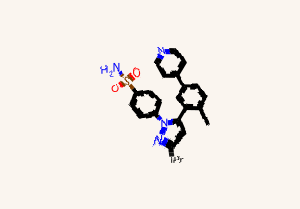 Cc1ccc(-c2ccncc2)cc1-c1cc(C(C)C)nn1-c1ccc(S(N)(=O)=O)cc1